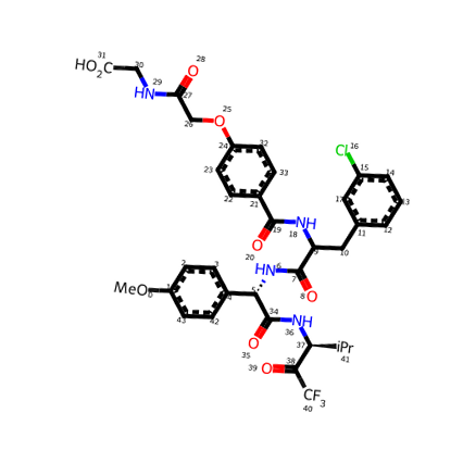 COc1ccc([C@H](NC(=O)C(Cc2cccc(Cl)c2)NC(=O)c2ccc(OCC(=O)NCC(=O)O)cc2)C(=O)N[C@H](C(=O)C(F)(F)F)C(C)C)cc1